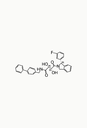 O=C(NCc1ccc(-c2ccccc2)cc1)[C@H](O)[C@@H](O)C(=O)N1Cc2ccccc2[C@H]1c1cccc(F)c1